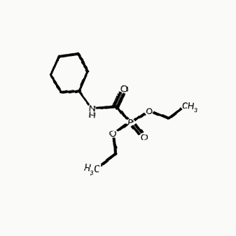 CCOP(=O)(OCC)C(=O)NC1CCCCC1